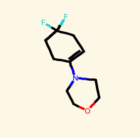 FC1(F)CC=C(N2CCOCC2)CC1